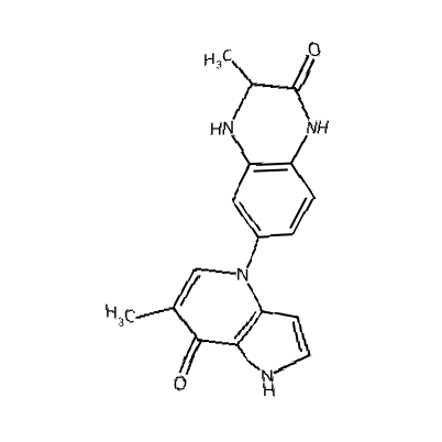 Cc1cn(-c2ccc3c(c2)NC(C)C(=O)N3)c2cc[nH]c2c1=O